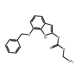 CCOC(=O)Oc1cc2cccc(OCc3ccccc3)c2[nH]1